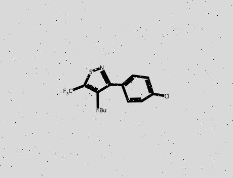 CCCCc1c(-c2ccc(Cl)cc2)nsc1C(F)(F)F